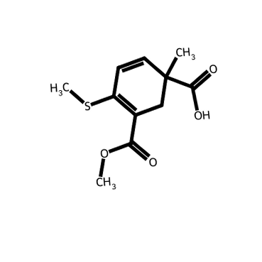 COC(=O)C1=C(SC)C=CC(C)(C(=O)O)C1